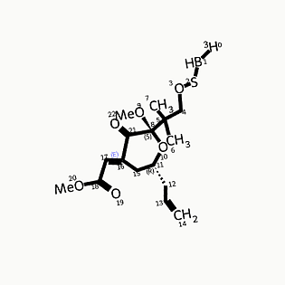 [3H]BSOCC(C)(C)[C@]1(OC)O[C@H](CC=C)C/C(=C\C(=O)OC)C1=O